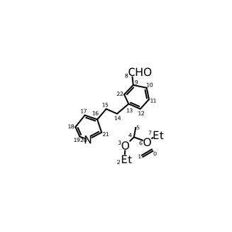 C=C.CCOC(C)OCC.O=Cc1cccc(CCc2cccnc2)c1